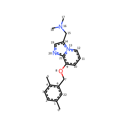 Cc1ccc(C)c(COc2cccn3c(CN(C)C)cnc23)c1